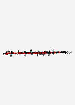 CCN[C@@H](CCCCNC(=O)COCCOCCNC(=O)COCCOCCNC(=O)COCCOCCNC(=O)COCCOCCNC(=O)[C@@H](N)CCCCNC(=O)[C@@H](N)CCCCNC(=O)CCCNC(=O)CCCCCCCCCCCCCCCS(=O)(=O)O)C(=O)O